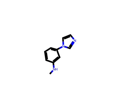 CNc1cccc(-n2ccnc2)c1